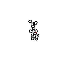 c1ccc(N(c2ccc3c(c2)c2ccccc2n3-c2ccccc2)c2ccccc2-c2cccc3c2Oc2ccccc2C32c3ccccc3-c3ccccc32)cc1